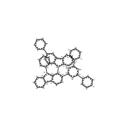 c1ccc(-c2ccc3c(c2)c2ccccc2n3-c2c(-c3nc(-c4ccccc4)nc(-c4ccccc4)n3)ccc3c4ccccc4n(-c4ccccc4)c23)cc1